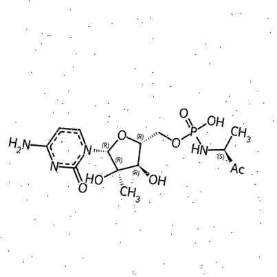 CC(=O)[C@H](C)NP(=O)(O)OC[C@H]1O[C@@H](n2ccc(N)nc2=O)[C@](C)(O)[C@@H]1O